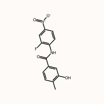 Cc1ccc(C(=O)Nc2ccc([N+](=O)[O-])cc2F)cc1O